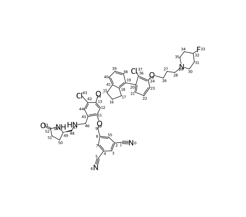 N#Cc1cc(C#N)cc(COc2cc(O[C@H]3CCc4c(-c5cccc(OCCCN6CCC(F)CC6)c5Cl)cccc43)c(Cl)cc2CNC[C@H]2CCC(=O)N2)c1